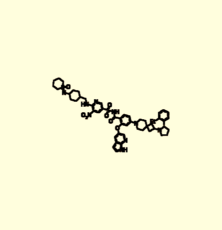 CCc1ccccc1[C@H]1CCCN1C1CC2(CCN(c3ccc(C(=O)NS(=O)(=O)c4cnc(NCC5CCC(N=S6(=O)CCCCC6)CC5)c([N+](=O)[O-])c4)c(Oc4cnc5[nH]ccc5c4)c3)CC2)C1